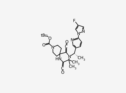 C[C@@H](c1ccc(-n2cc(F)cn2)nc1)N1C(=C=O)C2(CCN(C(=O)OC(C)(C)C)CC2)NC(=C=O)C1(C)C